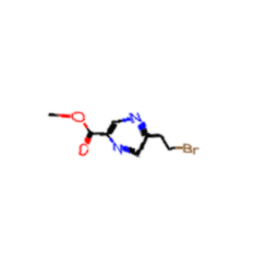 COC(=O)c1cnc(CCBr)cn1